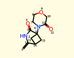 C=C1NC(=O)C2(N3CCOCC3=O)CC1C2